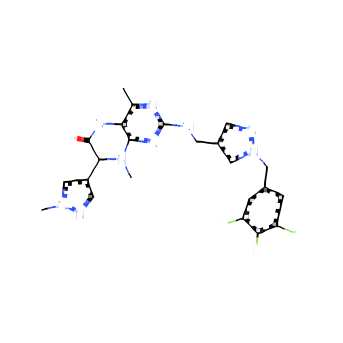 Cc1nc(NCc2cnn(Cc3cc(F)c(F)c(F)c3)c2)nc2c1NC(=O)C(c1cnn(C)c1)N2C